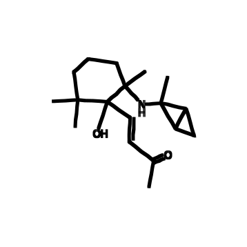 CC(=O)/C=C/C1(O)C(C)(C)CCCC1(C)NC1(C)C2CC21